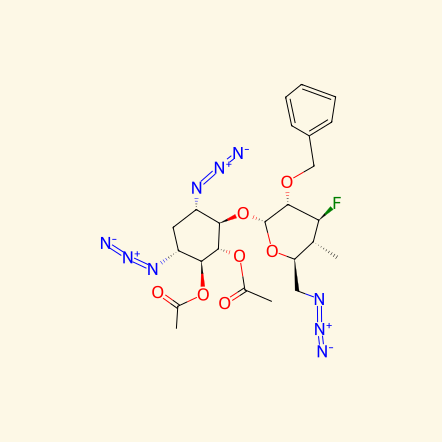 CC(=O)O[C@@H]1[C@@H](OC(C)=O)[C@H](N=[N+]=[N-])C[C@H](N=[N+]=[N-])[C@H]1O[C@H]1O[C@H](CN=[N+]=[N-])[C@@H](C)[C@H](F)[C@H]1OCc1ccccc1